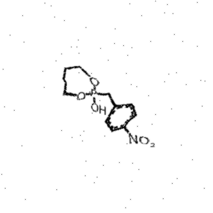 O=[N+]([O-])c1ccc(C[P]2(O)OCCCCO2)cc1